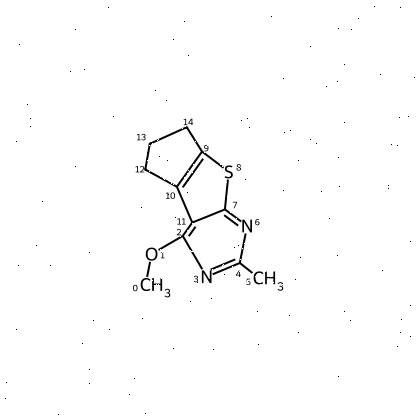 COc1nc(C)nc2sc3c(c12)CCC3